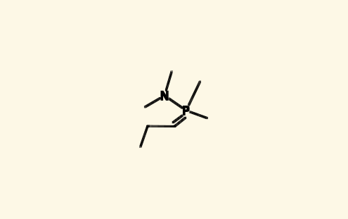 CCC=P(C)(C)N(C)C